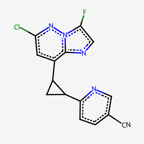 N#Cc1ccc(C2CC2c2cc(Cl)nn3c(F)cnc23)nc1